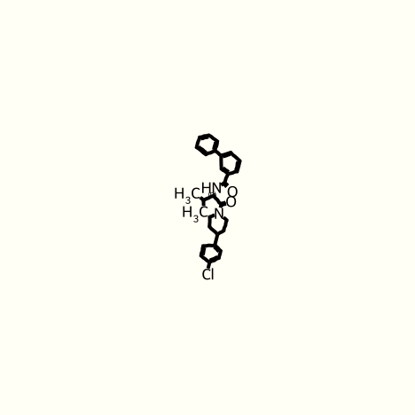 CC(C)[C@@H](NC(=O)c1cccc(-c2ccccc2)c1)C(=O)N1CCC(c2ccc(Cl)cc2)CC1